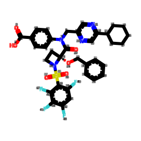 O=C(O)c1ccc(N(Cc2cnc(C3CCCCC3)cn2)C(=O)[C@]2(OCc3ccccc3)CCN2S(=O)(=O)c2c(F)cc(F)c(F)c2F)cc1